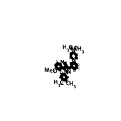 COc1ccc2ncc3c(-c4cccc(N5CCC(N(C)C)CC5)c4)nn(-c4ccc(C)c(C)c4)c3c2c1